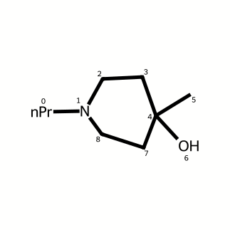 [CH2]CCN1CCC(C)(O)CC1